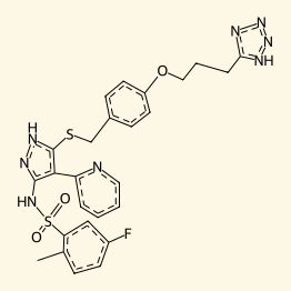 Cc1ccc(F)cc1S(=O)(=O)Nc1n[nH]c(SCc2ccc(OCCCc3nnn[nH]3)cc2)c1-c1ccccn1